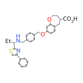 CCC(NCc1ccc(COc2ccc3c(c2)OCCC(C(=O)O)C3)cc1)c1nc(-c2ccccc2)cs1